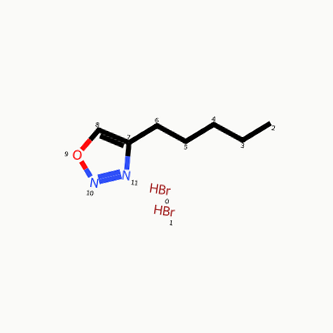 Br.Br.CCCCCc1conn1